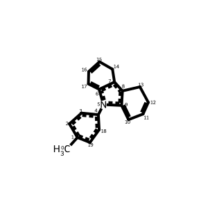 Cc1ccc(-n2c3c(c4c2=CC=CC4)CC=CC=3)cc1